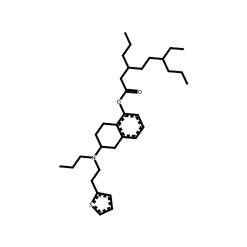 CCCC(CC)CCC(CCC)CC(=O)Oc1cccc2c1CCC(N(CCC)CCc1cccs1)C2